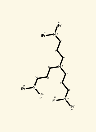 CC(C)N(CCCN(CCCN(C(C)C)C(C)C)CCCN(C(C)C)C(C)C)C(C)C